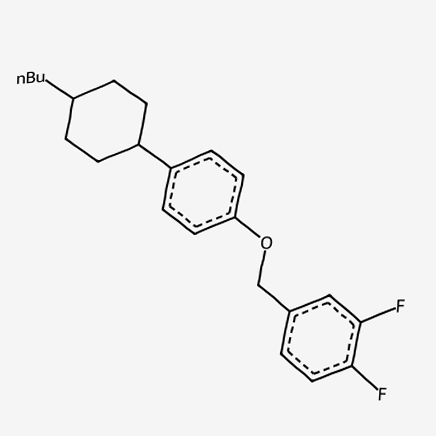 CCCCC1CCC(c2ccc(OCc3ccc(F)c(F)c3)cc2)CC1